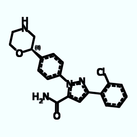 NC(=O)c1cc(-c2ccccc2Cl)nn1-c1ccc([C@@H]2CNCCO2)cc1